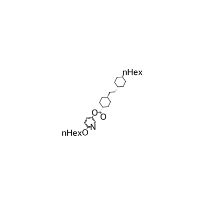 CCCCCCOc1ccc(OC(=O)[C@H]2CC[C@H](CC[C@H]3CC[C@H](CCCCCC)CC3)CC2)cn1